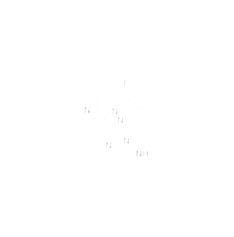 Nc1ccnc(-c2cc(-c3ccccn3)n(CC3=CC=CCC3F)n2)n1